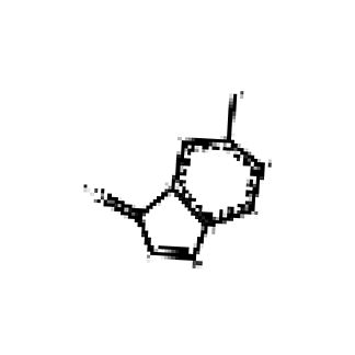 Cc1ccc2c(c1)C(=O)C=C2